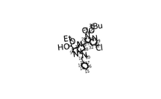 CCOC(O)c1cnn2c(N(C)Cc3ccccc3)cc(-c3cn(C(=O)OC(C)(C)C)c4ncc(Cl)cc34)nc12